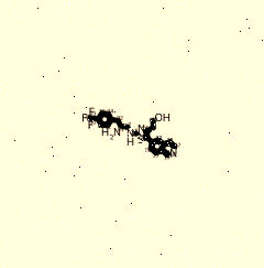 NC(CNc1nc(CCO)c(-c2ccc3cnccc3c2)s1)Cc1ccc(C(F)(F)F)cc1